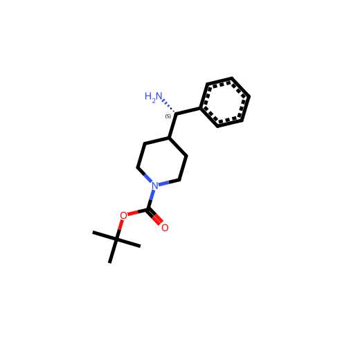 CC(C)(C)OC(=O)N1CCC([C@H](N)c2ccccc2)CC1